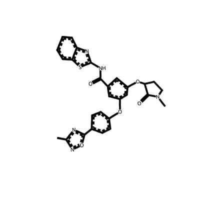 Cc1noc(-c2ccc(Oc3cc(OC4CCN(C)C4=O)cc(C(=O)Nc4nc5ccccc5s4)c3)cc2)n1